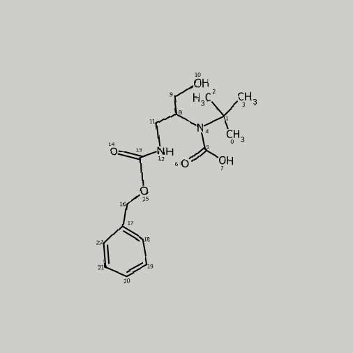 CC(C)(C)N(C(=O)O)C(CO)CNC(=O)OCc1ccccc1